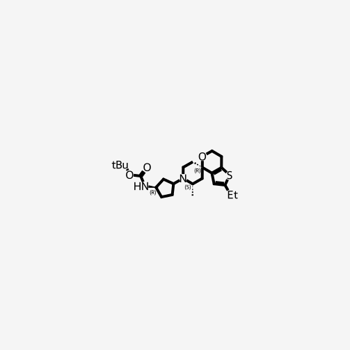 CCc1cc2c(s1)CCO[C@@]21CCN(C2CC[C@@H](NC(=O)OC(C)(C)C)C2)[C@@H](C)C1